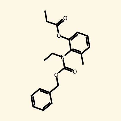 CCC(=O)Oc1cccc(C)c1N(CC)C(=O)OCc1ccccc1